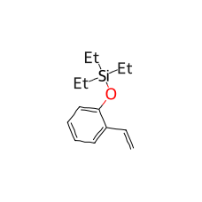 C=Cc1ccccc1O[Si](CC)(CC)CC